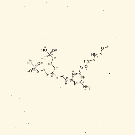 COCNCNOSc1nc(N)nc(NCCN(CCCS(=O)(=O)O)CCCS(=O)(=O)O)n1